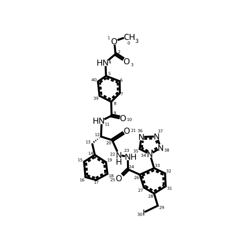 COC(=O)Nc1ccc(C(=O)N[C@@H](Cc2ccccc2)C(=O)NNC(=O)c2cc(CI)ccc2-n2cnnn2)cc1